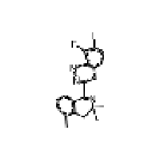 Cc1cccc2c1CC(C)(C)N=C2c1cc2ccc(F)c(F)c2nn1